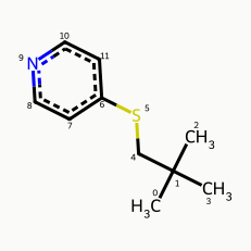 CC(C)(C)CSc1ccncc1